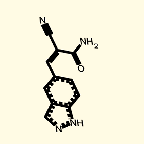 N#C/C(=C/c1ccc2[nH]ncc2c1)C(N)=O